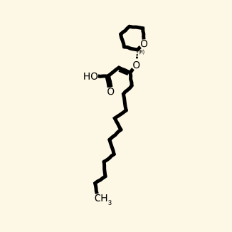 CCCCCCCCCCCC(=CC(=O)O)O[C@@H]1CCCCO1